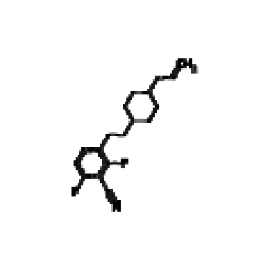 C=CCC1CCC(CCc2ccc(F)c(C#N)c2F)CC1